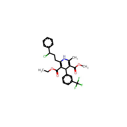 CCOC(=O)C1=C(CCC(Cl)c2ccccc2)NC(C)=C(C(=O)OC)C1c1cccc(C(F)(F)F)c1